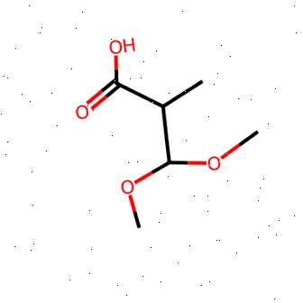 COC(OC)C(C)C(=O)O